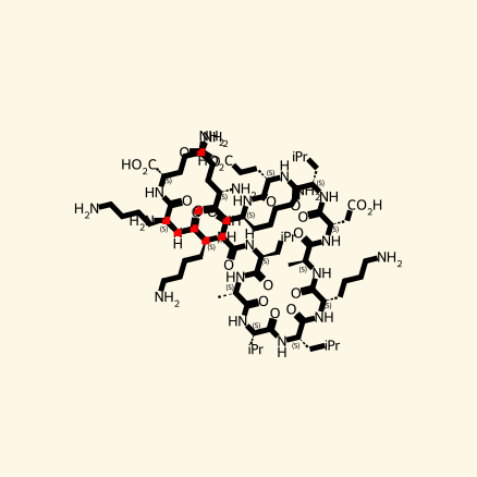 CC(C)C[C@H](NC(=O)[C@H](CCCCN)NC(=O)[C@@H](N)CCC(N)=O)C(=O)N[C@@H](C)C(=O)N[C@H](C(=O)N[C@@H](CC(C)C)C(=O)N[C@@H](CCCCN)C(=O)N[C@@H](C)C(=O)N[C@@H](CC(=O)O)C(=O)N[C@@H](CC(C)C)C(=O)N[C@@H](CCC(=O)O)C(=O)N[C@@H](CCCCN)C(=O)N[C@@H](CCCCN)C(=O)N[C@@H](CCCCN)C(=O)N[C@@H](CCC(N)=O)C(=O)O)C(C)C